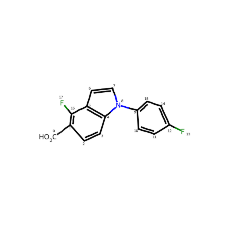 O=C(O)c1ccc2c(ccn2-c2ccc(F)cc2)c1F